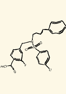 O=C(O)c1ccc(CN(CCCc2ccccc2)S(=O)(=O)c2ccc(Cl)cc2)cc1F